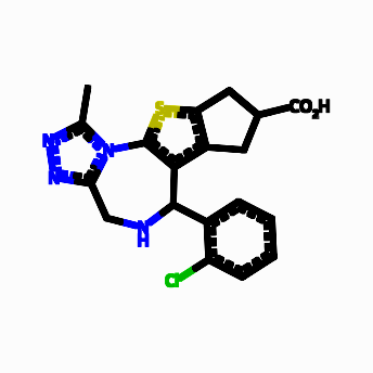 Cc1nnc2n1-c1sc3c(c1C(c1ccccc1Cl)NC2)CC(C(=O)O)C3